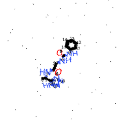 CC(NC(=O)CNC(=O)Nc1ccccc1)c1nnn[nH]1